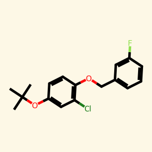 CC(C)(C)Oc1ccc(OCc2cccc(F)c2)c(Cl)c1